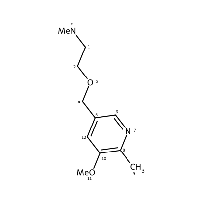 CNCCOCc1cnc(C)c(OC)c1